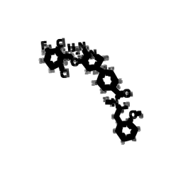 COc1ccccc1C[C@H](C)N(C)C(=O)c1ccc(-c2cnc(N)c(O[C@@H](C)c3c(Cl)ccc(F)c3Cl)c2)cc1